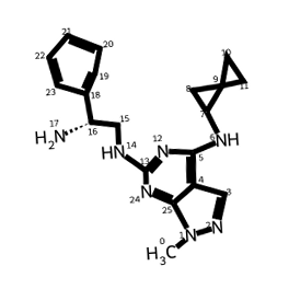 Cn1ncc2c(NC3CC34CC4)nc(NC[C@H](N)c3ccccc3)nc21